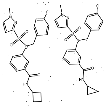 Cn1ccc(S(=O)(=O)N(Cc2ccc(Cl)cc2)c2cccc(C(=O)NC3CC3)c2)n1.Cn1ccc(S(=O)(=O)N(Cc2ccc(Cl)cc2)c2cccc(C(=O)NC3CCC3)c2)n1